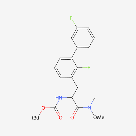 CON(C)C(=O)C(Cc1cccc(-c2cccc(F)c2)c1F)NC(=O)OC(C)(C)C